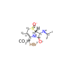 Br.CC(C)=NC1C(=O)N2C(C(=O)O)=C(C)C[S+]([O-])[C@H]12